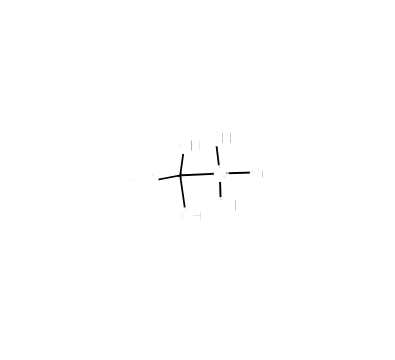 CC(C)(C)[Si](C)(C)Br